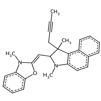 CC#CCC1(C)c2c(ccc3ccccc23)N(C)C1/C=C1\Oc2ccccc2N1C